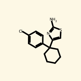 Nc1nc(C2(c3ccc(Cl)cc3)CCCCC2)cs1